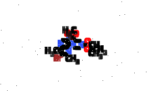 COC(=O)[C@H]1CN(C(=O)OC(C)(C)C)CCN1c1c(N=O)cnc2c(C)c(Br)c(C)nc12